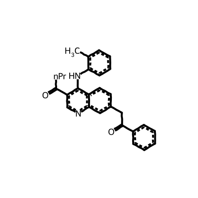 CCCC(=O)c1cnc2cc(CC(=O)c3ccccc3)ccc2c1Nc1ccccc1C